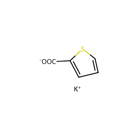 O=C([O-])c1cccs1.[K+]